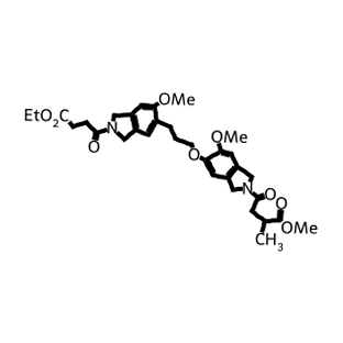 CCOC(=O)CCC(=O)N1Cc2cc(CCCOc3cc4c(cc3OC)CN(C(=O)CC(C)C(=O)OC)C4)c(OC)cc2C1